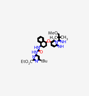 CCOC(=O)c1nc(NC(=O)NC2CCC(Oc3ccc(=N)n(C(=N)C(C)(C)COC)c3)c3ccccc32)cc(C(C)(C)C)n1